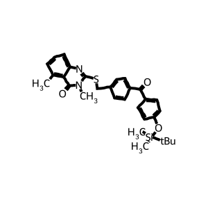 Cc1cccc2nc(SCc3ccc(C(=O)c4ccc(O[Si](C)(C)C(C)(C)C)cc4)cc3)n(C)c(=O)c12